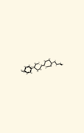 C=CCC[C@H]1CC[C@H]([C@H]2CC[C@H](c3ccc(C)cc3)CC2)CC1